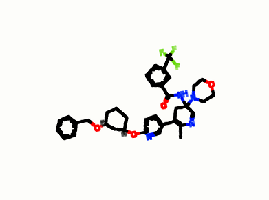 CC1=C(c2ccc(O[C@@H]3CCC[C@@H](OCc4ccccc4)C3)nc2)CC(NC(=O)c2cccc(C(F)(F)F)c2)(N2CCOCC2)C=N1